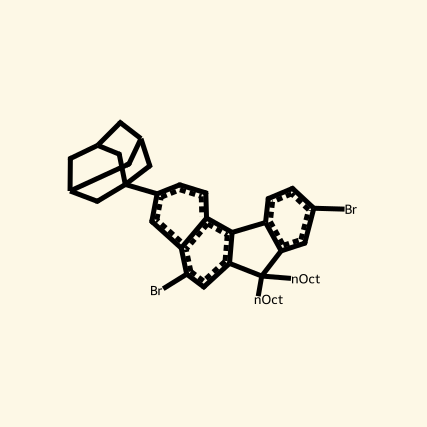 CCCCCCCCC1(CCCCCCCC)c2cc(Br)ccc2-c2c1cc(Br)c1cc(C34CC5CC(CC(C5)C3)C4)ccc21